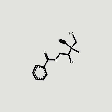 C#CC(C)(CO)C(O)COC(=O)c1ccccc1